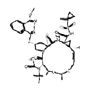 COc1nnc(O[C@@H]2C[C@H]3C(=O)N[C@]4(C(=O)NS(=O)(=O)C5(C)CC5)C[C@H]4C=CCC[C@@H](C)C[C@@H](C)[C@H](N(C(=O)O)C(C)(C)C)C(=O)N3C2)c2ccccc12